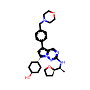 C[C@H](Nc1ncc2c(-c3ccc(CN4CCOCC4)cc3)cc([C@H]3CC[C@H](O)CC3)n2n1)[C@H]1CCCO1